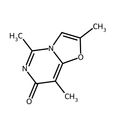 Cc1cn2c(C)nc(=O)c(C)c2o1